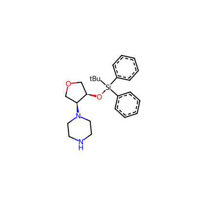 CC(C)(C)[Si](O[C@@H]1COC[C@@H]1N1CCNCC1)(c1ccccc1)c1ccccc1